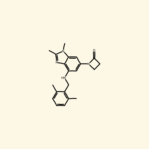 Cc1cccc(C)c1CNc1cc(N2CCC2=O)cc2c1nc(C)n2C